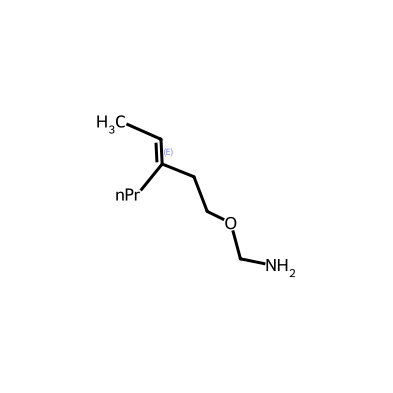 C/C=C(\CCC)CCOCN